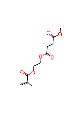 C=C(C)C(=O)OCCOC(=O)CCC(=O)OC